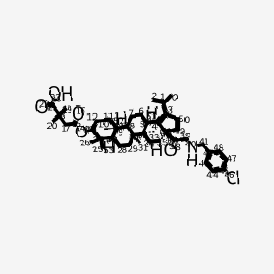 CC(C)C1=C2[C@H]3CC[C@@H]4[C@@]5(C)CC[C@H](OC(=O)CC(C)(C)C(=O)O)C(C)(C)[C@@H]5CC[C@@]4(C)[C@]3(C)CC[C@@]2([C@@H](O)CNCc2ccc(Cl)cc2)CC1